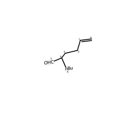 C=CCCC(C=O)CCCC